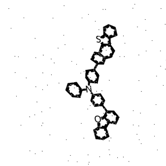 c1ccc(N(c2ccc(-c3ccc4c(ccc5c6ccccc6sc45)c3)cc2)c2ccc(-c3cccc4c3oc3ccccc34)cc2)cc1